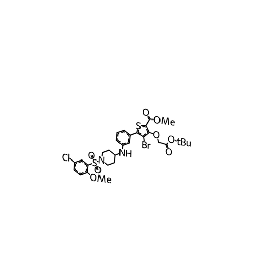 COC(=O)c1sc(-c2cccc(NC3CCN(S(=O)(=O)c4cc(Cl)ccc4OC)CC3)c2)c(Br)c1OCC(=O)OC(C)(C)C